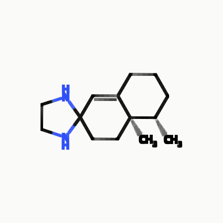 C[C@H]1CCCC2=CC3(CC[C@@]21C)NCCN3